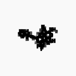 Cc1n[nH]c2c1C(c1cc(C#CC(C)(C)c3nnn[nH]3)cc(C(F)(F)F)c1)(C(C)C)C(C#N)=C(N)O2